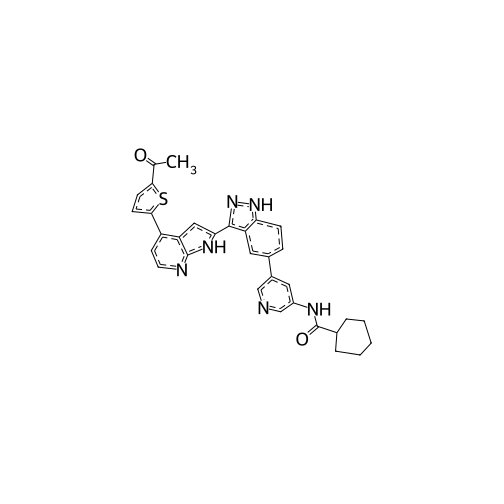 CC(=O)c1ccc(-c2ccnc3[nH]c(-c4n[nH]c5ccc(-c6cncc(NC(=O)C7CCCCC7)c6)cc45)cc23)s1